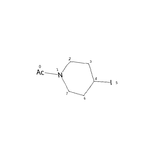 CC(=O)N1CCC(I)CC1